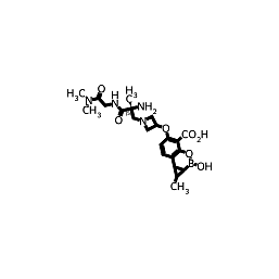 CC1C2B(O)Oc3c(ccc(OC4CN(C[C@](C)(N)C(=O)NCC(=O)N(C)C)C4)c3C(=O)O)C12